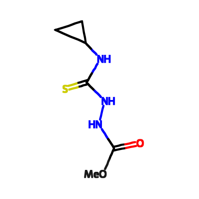 COC(=O)NNC(=S)NC1CC1